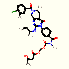 C=CC(C)Nc1nc2c(c(=O)n1-c1ccc(C(=O)N(C)C(=O)OCOC(=O)CC(O)C(=O)O)cc1)C[C@@H](C)N(C(=O)c1ccc(Br)c(C(F)(F)F)c1)C2